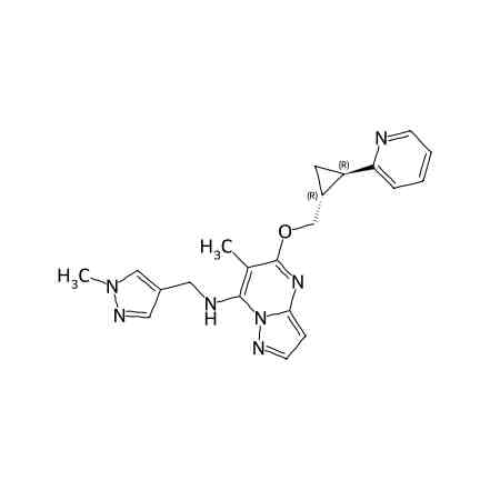 Cc1c(OC[C@@H]2C[C@H]2c2ccccn2)nc2ccnn2c1NCc1cnn(C)c1